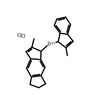 CC1=Cc2ccccc2[CH]1[Zr+2][CH]1C(C)=Cc2cc3c(cc21)CCC3.[Cl-].[Cl-]